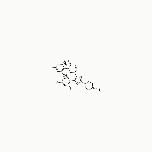 Cc1cc(F)cc(C)c1-n1cc(-c2nc(C3CCN(C)CC3)oc2-c2ccc(F)cc2F)ccc1=O